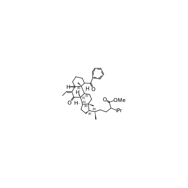 CC=C1C(=O)[C@H]2[C@@H]3CC[C@H]([C@H](C)CCC(C(=O)OC)C(C)C)[C@@]3(C)CC[C@@H]2[C@@]2(C)C(C(=O)c3ccccc3)CCC[C@@H]12